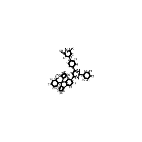 Cc1cc(-c2ccc(-c3cc(-c4ccc5c(c4)C4(c6ccccc6Oc6ccccc64)c4ccccc4-5)nc(-c4ccccc4)n3)cc2)cc(C)n1